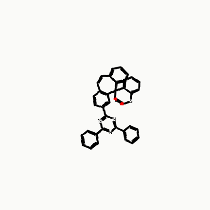 C1=Cc2ccc(-c3nc(-c4ccccc4)nc(-c4ccccc4)n3)cc2C2(c3ccccc31)c1ccccc1Sc1ccccc12